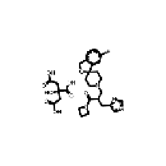 O=C(C(Cc1cscn1)CN1CCC2(CC1)OCc1ccc(F)cc12)N1CCC1.O=C(O)CC(O)(CC(=O)O)C(=O)O